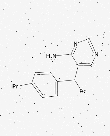 CC(=O)C(c1ccc(C(C)C)cc1)c1cncnc1N